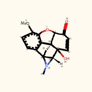 COc1ccc2c3c1OC1C(=O)C=CC4(O)[C@@H]5N(C)C25C[C@]314